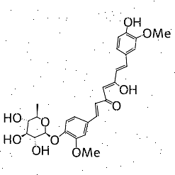 COc1cc(/C=C/C(O)=C/C(=O)/C=C/c2ccc(O[C@@H]3O[C@H](C)[C@@H](O)[C@H](O)[C@H]3O)c(OC)c2)ccc1O